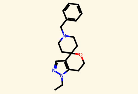 CCn1ncc2c1CCOC21CCN(Cc2ccccc2)CC1